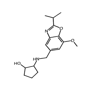 COc1cc(CNC2CCCC2O)cc2nc(C(C)C)oc12